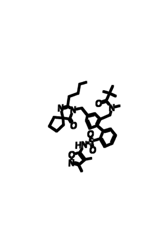 CCCCC1=NC2(CCCC2)C(=O)N1Cc1ccc(-c2ccccc2S(=O)(=O)Nc2onc(C)c2C)c(CN(C)C(=O)C(C)(C)C)c1